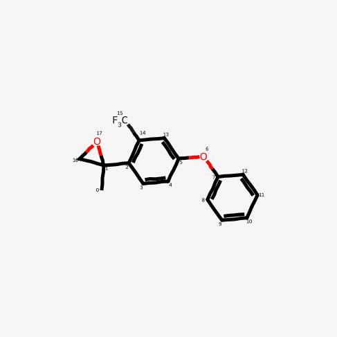 CC1(c2ccc(Oc3ccccc3)cc2C(F)(F)F)CO1